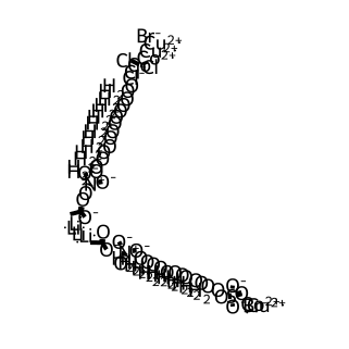 CC(=O)[O-].CC(=O)[O-].O.O.O.O.O.O.O.O.O.O.O.O.O.O.O.O.O.O.O.O.O.O.O.O.O.O.O=S(=O)([O-])[O-].O=[N+]([O-])[O-].O=[N+]([O-])[O-].[Br-].[Br-].[Cl-].[Cl-].[Cl][Co][Cl].[Co+2].[Co+2].[Cu+2].[Cu+2].[Cu+2].[Li].[Li].[Li].[Li]